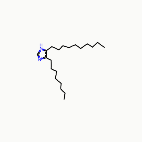 CCCCCCCCCCc1[nH]cnc1CCCCCCCC